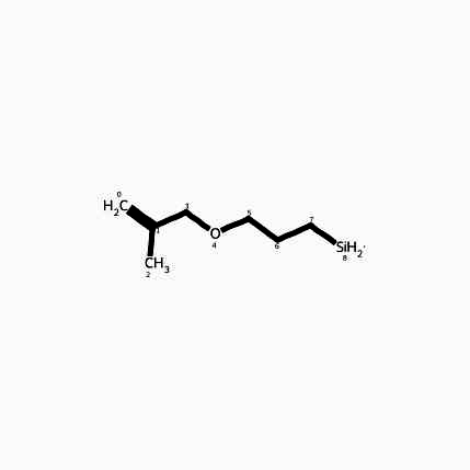 C=C(C)COCCC[SiH2]